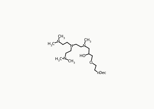 CCCCCCCCCCCCOCC(O)CN(C)CCN(CCN(C)C)CCN(C)C